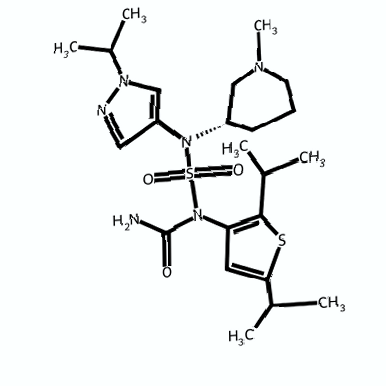 CC(C)c1cc(N(C(N)=O)S(=O)(=O)N(c2cnn(C(C)C)c2)[C@H]2CCCN(C)C2)c(C(C)C)s1